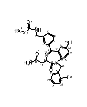 CC(C)(C)OC(=O)NCc1cccc(C2=NC(CC(N)=O)C(=O)N(Cc3ccccc3F)c3ccc(Cl)cc32)c1